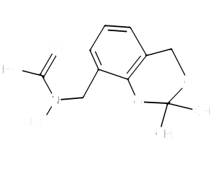 CN(Cc1cccc2c1OC(C)(C)OC2)C(=O)O